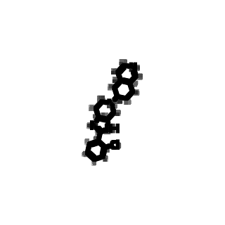 Clc1ccccc1-c1nc2c([nH]1)CN(C1CCc3cnccc3C1)CC2